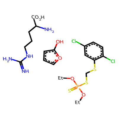 CCOP(=S)(OCC)SCSc1cc(Cl)ccc1Cl.N=C(N)NCCCC(N)C(=O)O.Oc1ccco1